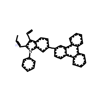 C=Cc1c(/C=C\C)n(-c2ccccc2)c2cc(-c3ccc4c5ccccc5c5ccccc5c4c3)ccc12